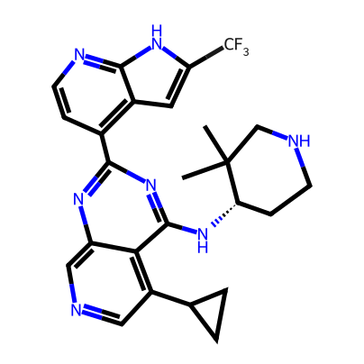 CC1(C)CNCC[C@@H]1Nc1nc(-c2ccnc3[nH]c(C(F)(F)F)cc23)nc2cncc(C3CC3)c12